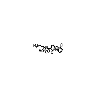 NCCC[C@H](NC(=O)c1ccc(Cc2ccccc2Cl)[nH]c1=O)C(=O)O